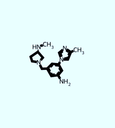 CN[C@H]1CCN(Cc2cc(N)cc(-n3cnc(C)c3)c2)C1